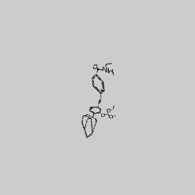 CCNC(=O)c1ccc(C#Cc2ccc(C34CC5CC(CC(C5)C3)C4)c(OC(OC)OCC)c2)cc1